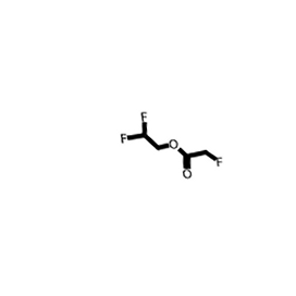 O=C(CF)OCC(F)F